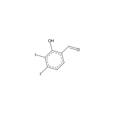 O=Cc1ccc(I)c(I)c1O